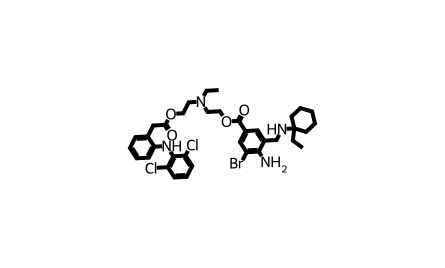 CCN(CCOC(=O)Cc1ccccc1Nc1c(Cl)cccc1Cl)CCOC(=O)c1cc(Br)c(N)c(CNC2(CC)CCCCC2)c1